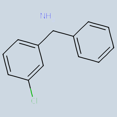 Clc1cccc(Cc2ccccc2)c1.N